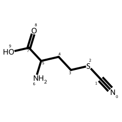 N#CSCCC(N)C(=O)O